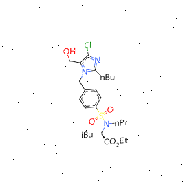 CCCCc1nc(Cl)c(CO)n1Cc1ccc(S(=O)(=O)N(CCC)[C@@H](C(=O)OCC)[C@H](C)CC)cc1